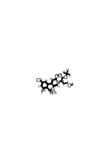 COCCC(C(=O)OC(C)(C)C)n1cc(OC)c(-c2cc(Cl)cc(F)c2C#N)cc1=O